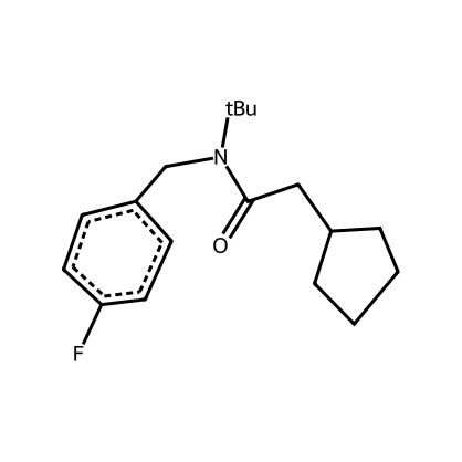 CC(C)(C)N(Cc1ccc(F)cc1)C(=O)CC1CCCC1